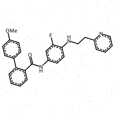 COc1ccc(-c2ccccc2C(=O)Nc2ccc(NCCc3ccccn3)c(F)c2)cc1